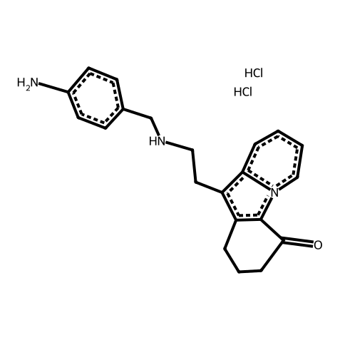 Cl.Cl.Nc1ccc(CNCCc2c3c(n4ccccc24)C(=O)CCC3)cc1